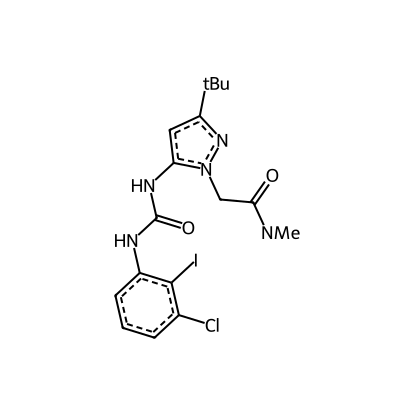 CNC(=O)Cn1nc(C(C)(C)C)cc1NC(=O)Nc1cccc(Cl)c1I